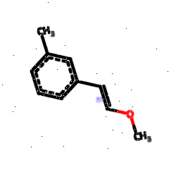 CO/C=C/c1cccc(C)c1